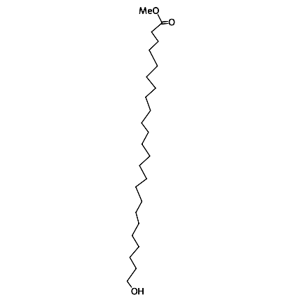 COC(=O)CCCCCCCCCCCCCCCCCCCCCCCO